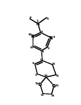 CN(C)c1ncc(C2=CCC3(CC2)OCCO3)cn1